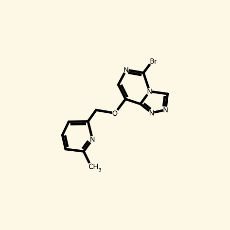 Cc1cccc(COc2cnc(Br)n3cnnc23)n1